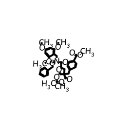 COC(=O)c1ccc(CC2(CCC(=O)N(Cc3c(OC)cc(OC)cc3OC)OCc3ccccc3)C(=O)OC(C)(C)OC2=O)cc1